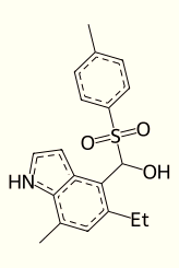 CCc1cc(C)c2[nH]ccc2c1C(O)S(=O)(=O)c1ccc(C)cc1